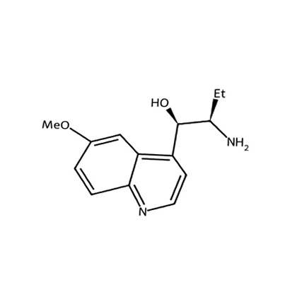 CC[C@@H](N)[C@H](O)c1ccnc2ccc(OC)cc12